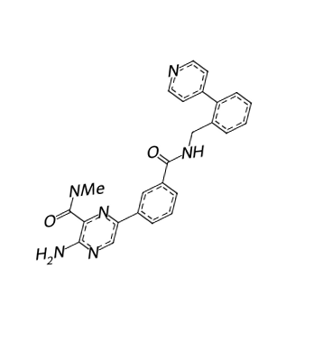 CNC(=O)c1nc(-c2cccc(C(=O)NCc3ccccc3-c3ccncc3)c2)cnc1N